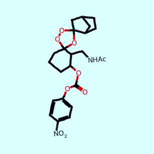 CC(=O)NCC1C(OC(=O)Oc2ccc([N+](=O)[O-])cc2)CCCC12OOC1(CC3CCC1C3)O2